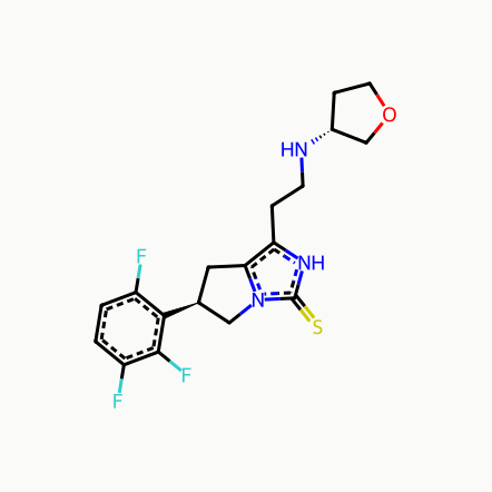 Fc1ccc(F)c([C@H]2Cc3c(CCN[C@@H]4CCOC4)[nH]c(=S)n3C2)c1F